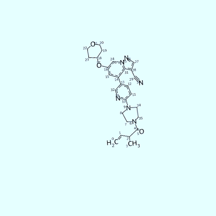 C=CC(C)C(=O)N1CCN(c2ccc(-c3cc(OC4CCOCC4)cn4ncc(C#N)c34)cn2)CC1